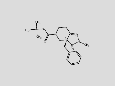 CN1N=C2CCN(C(=O)OC(C)(C)C)C[C@@]2(Cc2ccccc2)C1=O